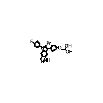 CC(C)c1c(-c2ccc(OCC(O)O)cc2)c2cc3[nH]ncc3cc2n1-c1ccc(F)cc1